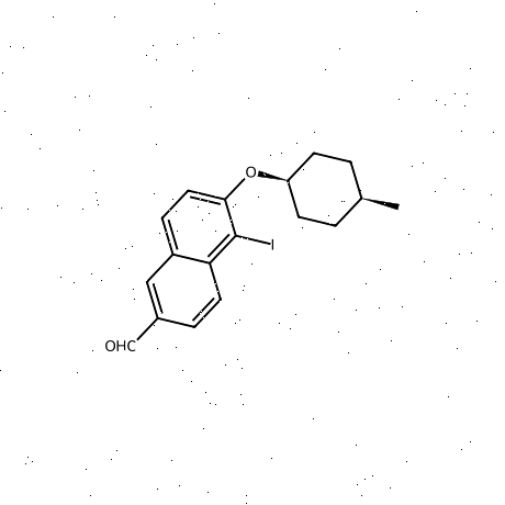 C[C@H]1CC[C@@H](Oc2ccc3cc(C=O)ccc3c2I)CC1